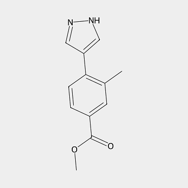 COC(=O)c1ccc(-c2cn[nH]c2)c(C)c1